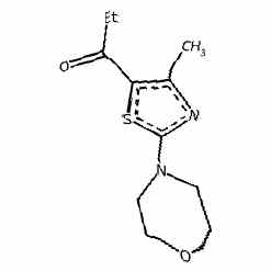 CCC(=O)c1sc(N2CCOCC2)nc1C